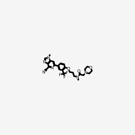 CN(CCCOc1ccc(-c2cc3c(ncn3C)c(C#N)n2)cc1C(F)(F)F)C(=O)CN1CCOCC1